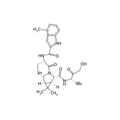 Cc1cccc2[nH]c(C(=O)N[C@@H](CC(C)C)C(=O)N3C[C@H]4[C@@H]([C@H]3C(=O)N[C@H](C(=O)CO)C(C)(C)C)C4(C)C)cc12